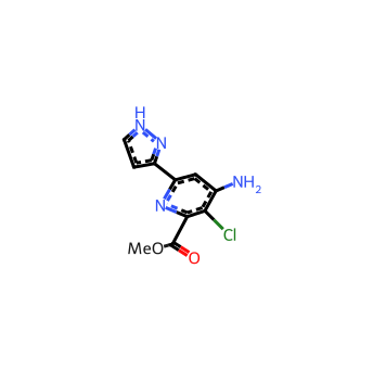 COC(=O)c1nc(-c2cc[nH]n2)cc(N)c1Cl